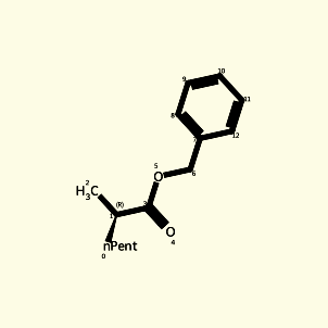 CCCCC[C@@H](C)C(=O)OCc1ccccc1